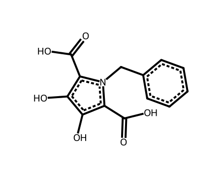 O=C(O)c1c(O)c(O)c(C(=O)O)n1Cc1ccccc1